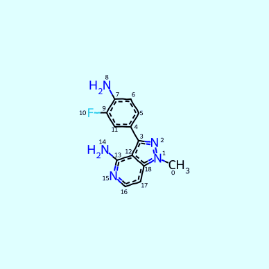 Cn1nc(-c2ccc(N)c(F)c2)c2c(N)nccc21